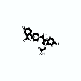 O=C(O)Cn1cc(C(=O)N2CCC3(CC2)OC(=O)c2cc(F)ccc23)c2ccc(Cl)cc21